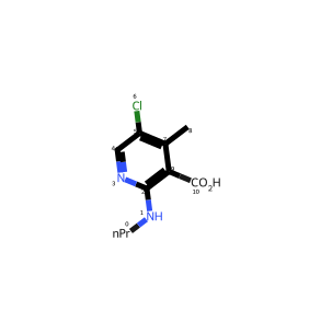 CCCNc1ncc(Cl)c(C)c1C(=O)O